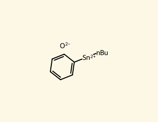 CCC[CH2][Sn+2][c]1ccccc1.[O-2]